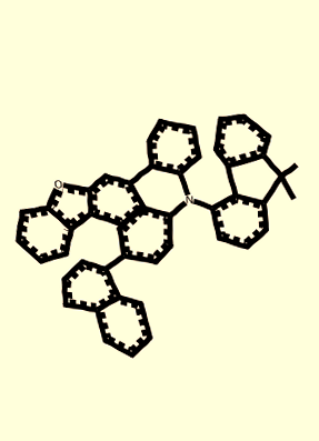 CC1(C)c2ccccc2-c2c(N(c3ccc(-c4cccc5ccccc45)cc3)c3ccccc3-c3ccc4c(c3)oc3ccccc34)cccc21